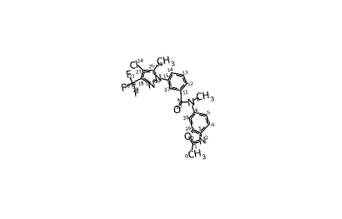 Cc1nc2ccc(N(C)C(=O)c3cccc(-n4nc(C(F)(F)F)c(Cl)c4C)c3)cc2o1